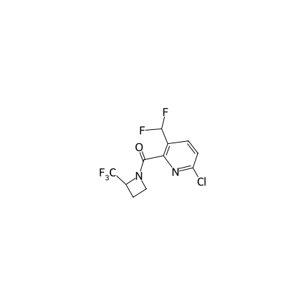 O=C(c1nc(Cl)ccc1C(F)F)N1CCC1C(F)(F)F